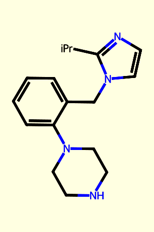 CC(C)c1nccn1Cc1ccccc1N1CCNCC1